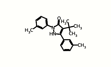 Cc1cccc(-c2[nH]n(-c3cccc(C)c3)c(=O)c2C(C)(C)C)c1